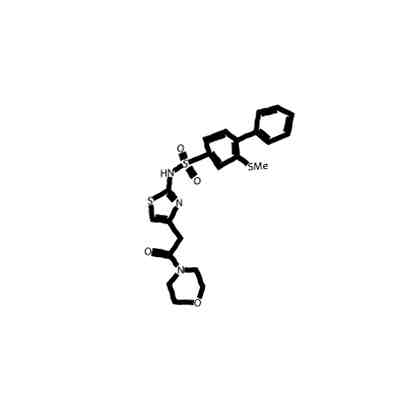 CSc1cc(S(=O)(=O)Nc2nc(CC(=O)N3CCOCC3)cs2)ccc1-c1ccccc1